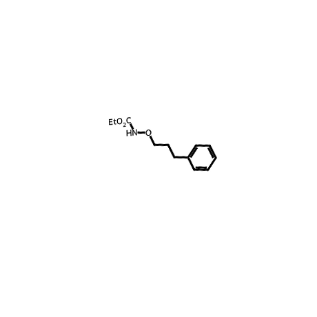 CCOC(=O)NOCCCc1ccccc1